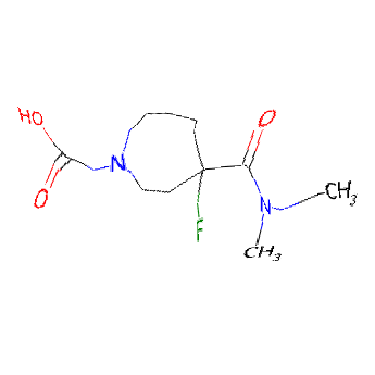 CN(C)C(=O)C1(F)CCN(C(=O)O)C1